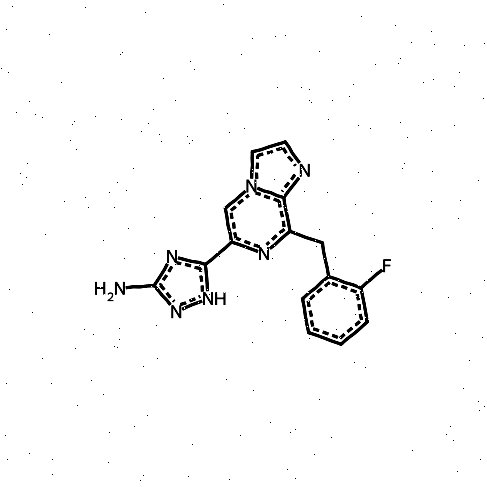 Nc1n[nH]c(-c2cn3ccnc3c(Cc3ccccc3F)n2)n1